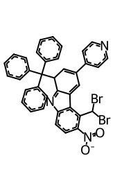 O=[N+]([O-])c1ccc2c(c1C(Br)Br)C1=CC(c3ccncc3)=CC(C(c3ccccc3)(c3ccccc3)c3ccccc3)C1=N2